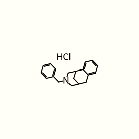 Cl.c1ccc(CN2CC3Cc4ccccc4C(C3)C2)cc1